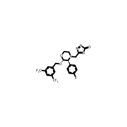 O=C1N=NC(CN2CCO[C@@H](OCc3cc(C(F)(F)F)cc(C(F)(F)F)c3)[C@@H]2c2ccc(F)cc2)=N1